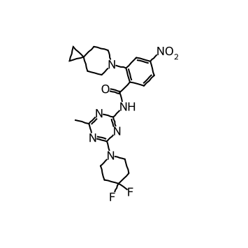 Cc1nc(NC(=O)c2ccc([N+](=O)[O-])cc2N2CCC3(CC2)CC3)nc(N2CCC(F)(F)CC2)n1